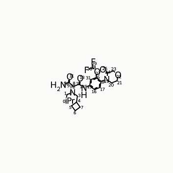 CC(C)CN(CC1CCC1)[C@H](C(N)=O)C(=O)Nc1ccc(N2CCOCC2=O)c(OC(F)F)c1